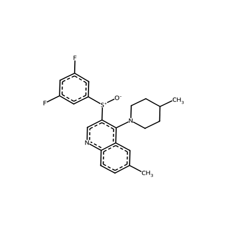 Cc1ccc2ncc([S+]([O-])c3cc(F)cc(F)c3)c(N3CCC(C)CC3)c2c1